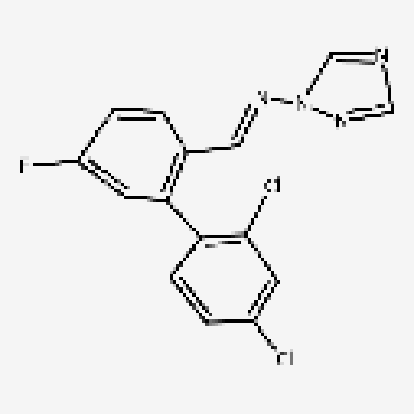 Fc1ccc(C=Nn2cncn2)c(-c2ccc(Cl)cc2Cl)c1